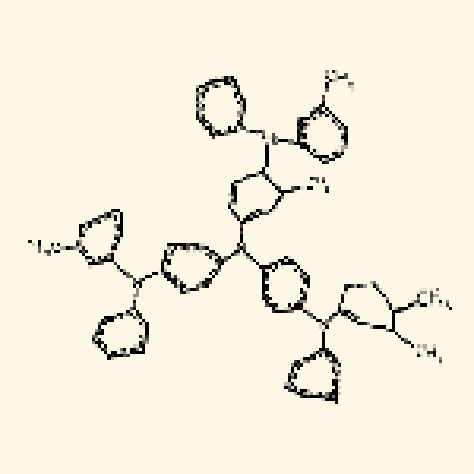 Cc1cccc(N(c2ccccc2)c2ccc(N(C3=CC(C)C(N(c4ccccc4)c4cccc(C)c4)C=C3)c3ccc(N(C4=CC(C)C(C)C=C4)c4ccccc4)cc3)cc2)c1